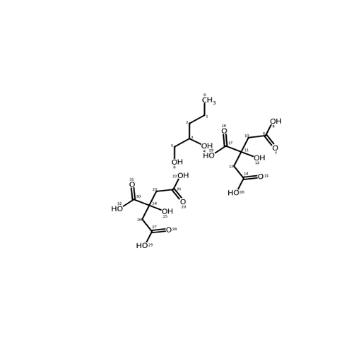 CCCC(O)CO.O=C(O)CC(O)(CC(=O)O)C(=O)O.O=C(O)CC(O)(CC(=O)O)C(=O)O